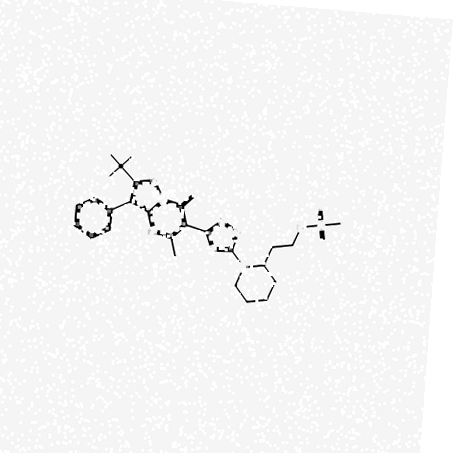 Cc1[nH]c2c(-c3ccccc3)c(C(F)(F)F)nn2c(=O)c1-c1nnc(N2CCCCC2CCNS(C)(=O)=O)o1